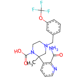 CC1(c2cccnc2C(N)=O)CN(Cc2cccc(OC(F)(F)F)c2)CCN1C(=O)O